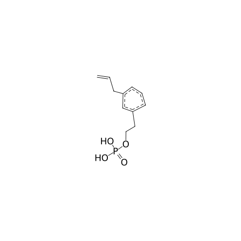 C=CCc1cccc(CCOP(=O)(O)O)c1